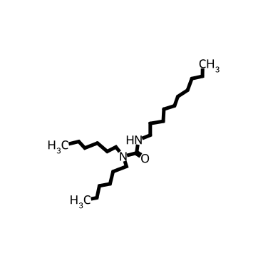 CCCCCCCCCCNC(=O)N(CCCCCC)CCCCCC